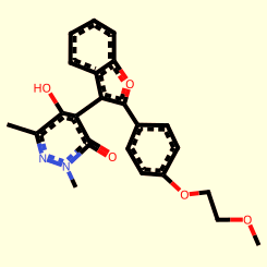 COCCOc1ccc(-c2oc3ccccc3c2-c2c(O)c(C)nn(C)c2=O)cc1